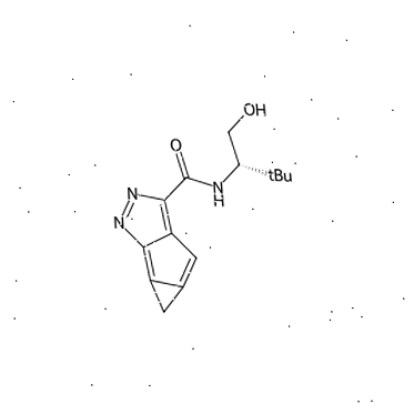 CC(C)(C)[C@@H](CO)NC(=O)C1=C2C=C3CC3=C2N=N1